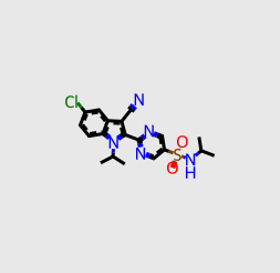 CC(C)NS(=O)(=O)c1cnc(-c2c(C#N)c3cc(Cl)ccc3n2C(C)C)nc1